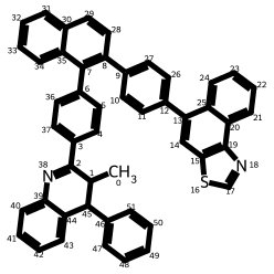 CC1C(c2ccc(-c3c(-c4ccc(-c5cc6scnc6c6ccccc56)cc4)ccc4ccccc34)cc2)=Nc2ccccc2C1c1ccccc1